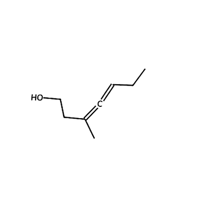 CCC=C=C(C)CCO